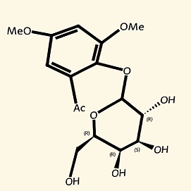 COc1cc(OC)c(OC2O[C@H](CO)[C@H](O)[C@H](O)[C@H]2O)c(C(C)=O)c1